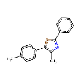 Cc1ccc(-c2sc(-c3ccccc3)nc2C)cc1